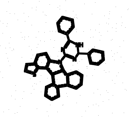 c1ccc(C2=NC(n3c4ccc5ccsc5c4c4c5ccccc5c5ccccc5c43)=NC(c3ccccc3)N2)cc1